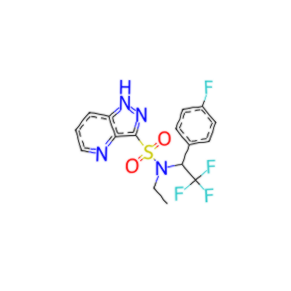 CCN(C(c1ccc(F)cc1)C(F)(F)F)S(=O)(=O)c1n[nH]c2cccnc12